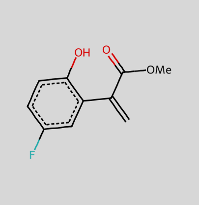 C=C(C(=O)OC)c1cc(F)ccc1O